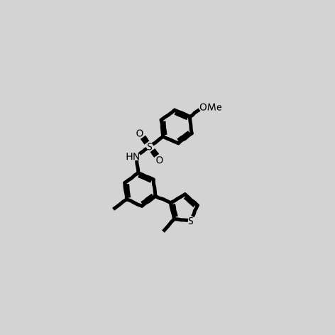 COc1ccc(S(=O)(=O)Nc2cc(C)cc(-c3ccsc3C)c2)cc1